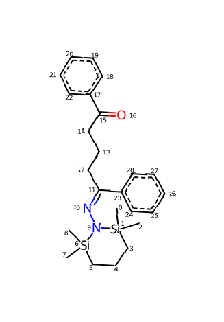 C[Si]1(C)CCC[Si](C)(C)N1N=C(CCCC(=O)c1ccccc1)c1ccccc1